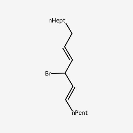 CCCCC/C=C/C(Br)/C=C/CCCCCCCC